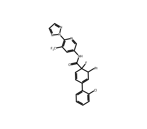 CC(C)C1C=C(c2ccccc2Cl)C=CC1(F)C(=O)Nc1cnc(-n2nccn2)c(C(F)(F)F)c1